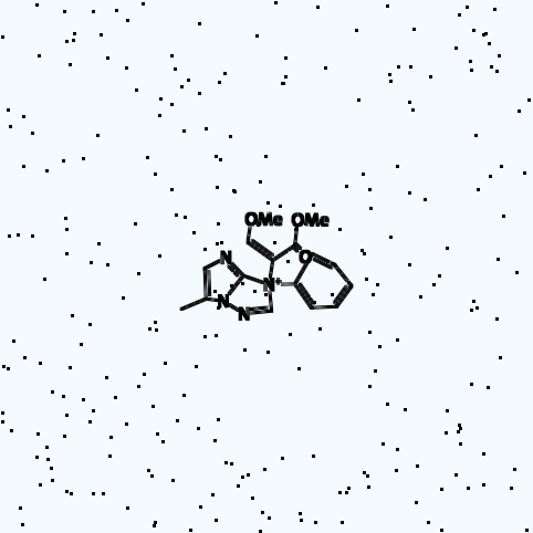 COC=C(C(=O)OC)[N+]1(c2ccccc2)C=Nn2c(C)cnc21